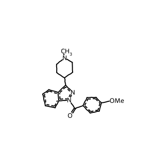 COc1ccc(C(=O)n2nc(C3CCN(C)CC3)c3ccccc32)cc1